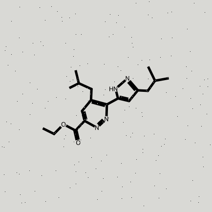 CCOC(=O)c1cc(CC(C)C)c(-c2cc(CC(C)C)n[nH]2)nn1